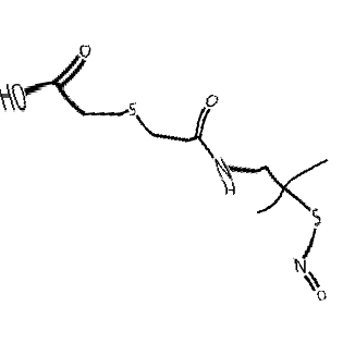 CC(C)(CNC(=O)CSCC(=O)O)SN=O